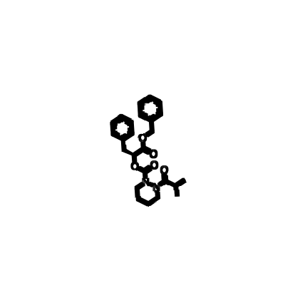 CC(C)C(=O)N1CCCCN1C(=O)O[C@@H](Cc1ccccc1)C(=O)OCc1ccccc1